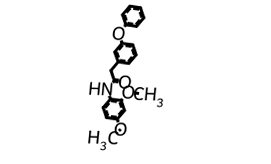 COc1ccc(NC(=O)Cc2cccc(Oc3ccccc3)c2)c(OC)c1